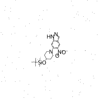 CC(C)(C)[Si](C)(C)OC1CCN(c2cc3[nH]ncc3cc2[N+](=O)[O-])CC1